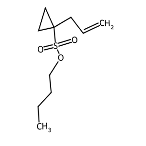 C=CCC1(S(=O)(=O)OCCCC)CC1